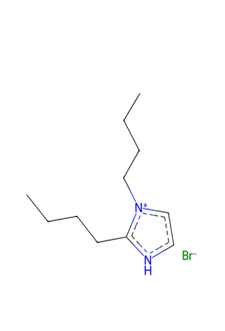 CCCCc1[nH]cc[n+]1CCCC.[Br-]